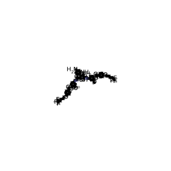 COc1cc(/C=C/C(=O)C(O)C(c2ccc(N)cc2N)C(O)C(=O)/C=C/c2ccc(OC(=O)c3ccc(OCCCCC(F)(F)F)cc3)c(OC)c2)ccc1OC(=O)c1ccc(OCCCCC(F)(F)F)cc1